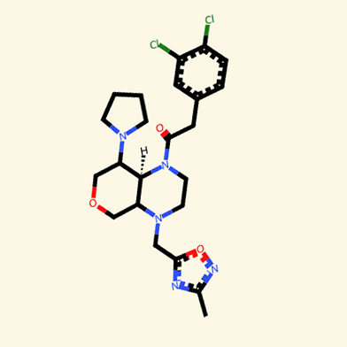 Cc1noc(CN2CCN(C(=O)Cc3ccc(Cl)c(Cl)c3)[C@@H]3C(N4CCCC4)COCC32)n1